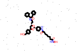 O=C(CCCCCCC(=O)Nc1ccc([C@H]2O[C@@H](CCc3nc(-c4ccccc4)c(-c4ccccc4)o3)C[C@@H](c3ccc(CO)cc3)O2)cc1)NO